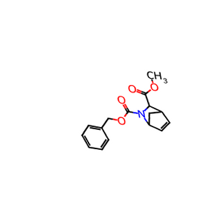 COC(=O)C1C2C=CC(C2)N1C(=O)OCc1ccccc1